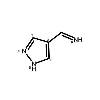 N=Cc1cn[nH]c1